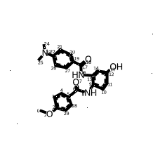 COc1ccc(C(=O)Nc2ccc(O)cc2NC(=O)c2ccc(N(C)C)cc2)cc1